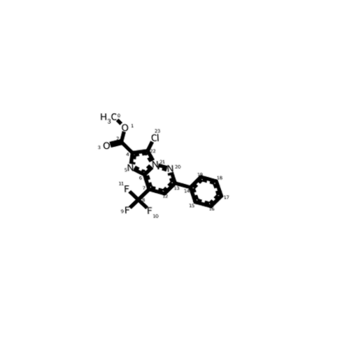 COC(=O)c1nc2c(C(F)(F)F)cc(-c3ccccc3)nn2c1Cl